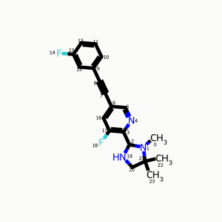 CN1C(c2ncc(C#Cc3cccc(F)c3)cc2F)NCC1(C)C